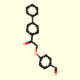 O=Cc1ccc(OCC(=O)c2ccc(-c3ccccc3)cc2)cc1